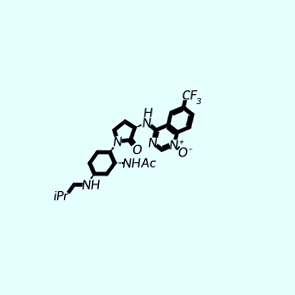 CC(=O)N[C@@H]1C[C@H](NCC(C)C)CC[C@@H]1N1CC[C@H](Nc2nc[n+]([O-])c3ccc(C(F)(F)F)cc23)C1=O